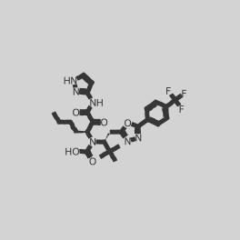 CCCC[C@@H](C(=O)C(=O)Nc1cc[nH]n1)N(C(=O)O)[C@H](Cc1nnc(-c2ccc(C(F)(F)F)cc2)o1)C(C)(C)C